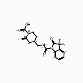 CC1(C)C(=O)N(C(=O)NCC2CCN(C(=O)O)C(=O)C2)c2ccccc21